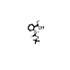 CC(C)(C)OC(=O)NC1CCCCC1C(=O)O